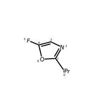 CC(C)c1ncc(F)o1